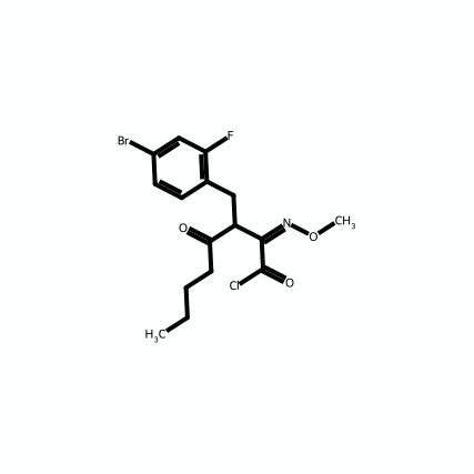 CCCCC(=O)C(Cc1ccc(Br)cc1F)C(=NOC)C(=O)Cl